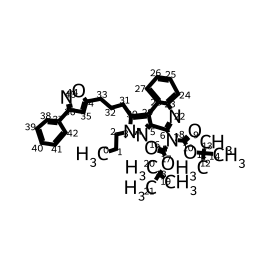 CCCn1nc2c(N(C(=O)OC(C)(C)C)C(=O)OC(C)(C)C)nc3ccccc3c2c1CCCc1cc(-c2ccccc2)no1